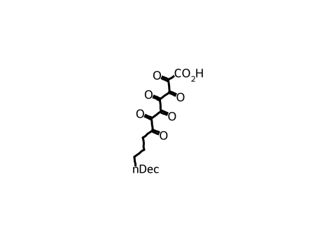 CCCCCCCCCCCCCC(=O)C(=O)C(=O)C(=O)C(=O)C(=O)C(=O)O